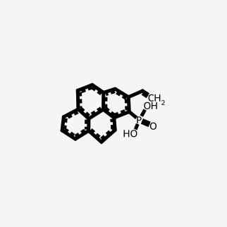 C=Cc1cc2ccc3cccc4ccc(c1P(=O)(O)O)c2c34